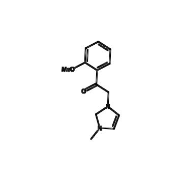 COc1ccccc1C(=O)CN1C=CN(C)C1